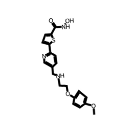 COc1ccc(OCCNCc2ccc(-c3ccc(C(=O)NO)s3)nc2)cc1